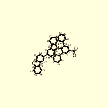 O=[N+]([O-])c1cc(-c2ccccc2)c(-n2c3ccccc3c3cc(-c4ccc5oc6ccccc6c5c4)ccc32)c(-c2ccccc2)c1